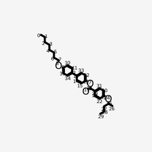 CCCCCCCCOc1ccc(-c2ccc(OC(=O)c3ccc(OC(C)CCC)cc3)cc2)cc1